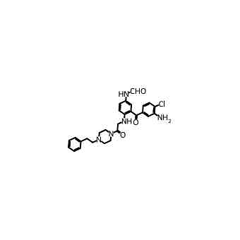 Nc1cc(C(=O)c2cc(NC=O)ccc2NCC(=O)N2CCN(CCc3ccccc3)CC2)ccc1Cl